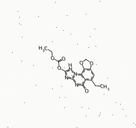 CCOC(=O)Oc1nc2nc(=O)c3c(CC)cc4c(c3n2[nH]1)OCO4